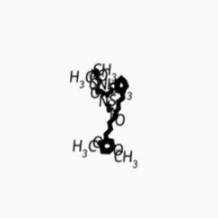 COc1ccc(OC)c(CCCC(=O)N(CCCc2ccccc2)Cc2nc(C(=O)NS(=O)(=O)N(C)C)c(C)s2)c1